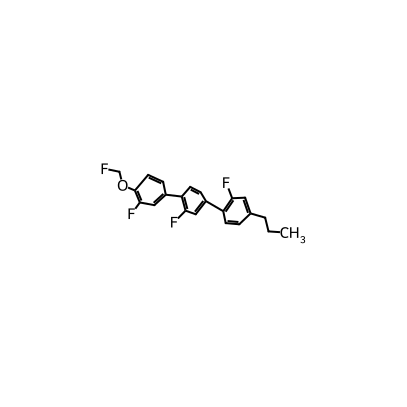 CCCc1ccc(-c2ccc(-c3ccc(OCF)c(F)c3)c(F)c2)c(F)c1